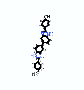 N#Cc1ccc(-c2nc3cc(-c4ccc5[nH]c(-c6ccc(C#N)cc6)nc5c4)ccc3[nH]2)cc1